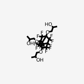 CC(O)COC12C(F)(F)C3(F)C(F)(F)C(OCC(C)O)(C1(F)F)C(F)(F)C(OCC(C)O)(C3(F)F)C2(F)F